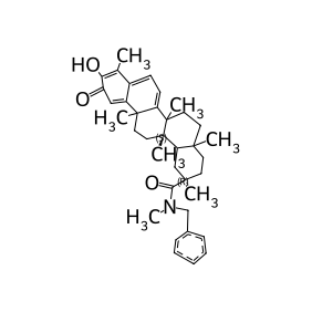 CC1=C(O)C(=O)C=C2C1=CC=C1C2(C)CC[C@@]2(C)C3C[C@](C)(C(=O)N(C)Cc4ccccc4)CCC3(C)CCC12C